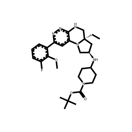 CC[C@@]12CNc3nnc(-c4cccc(F)c4OC)cc3N1C[C@H](NC1CCN(C(=O)OC(C)(C)C)CC1)C2